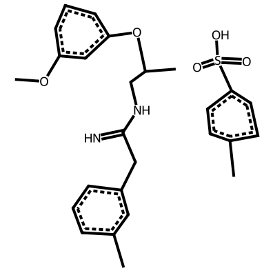 COc1cccc(OC(C)CNC(=N)Cc2cccc(C)c2)c1.Cc1ccc(S(=O)(=O)O)cc1